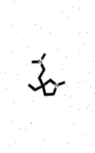 CCC1(CCN(C)C)CCN(C)C1